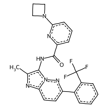 Cc1nc2ccc(-c3ccccc3C(F)(F)F)nn2c1NC(=O)c1cccc(N2CCC2)n1